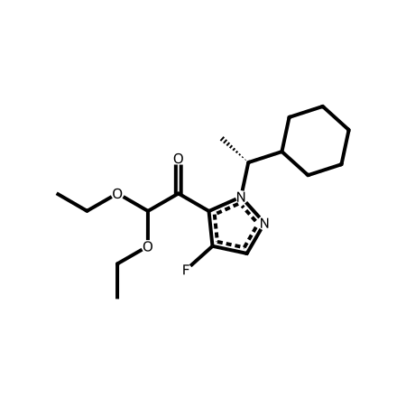 CCOC(OCC)C(=O)c1c(F)cnn1[C@H](C)C1CCCCC1